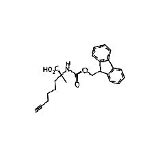 C#CCCCC[C@@](C)(NC(=O)OCC1c2ccccc2-c2ccccc21)C(=O)O